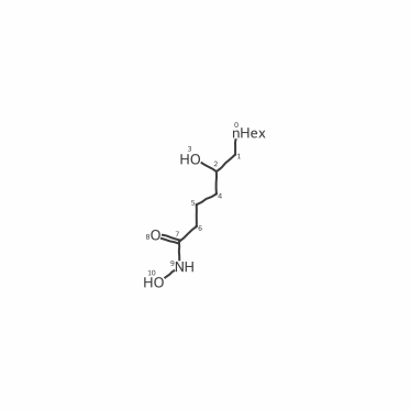 CCCCCCCC(O)CCCC(=O)NO